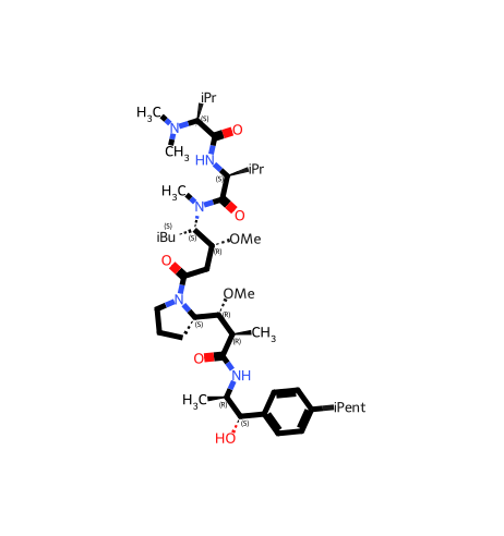 CCCC(C)c1ccc([C@H](O)[C@@H](C)NC(=O)[C@H](C)[C@@H](OC)[C@@H]2CCCN2C(=O)C[C@@H](OC)[C@H]([C@@H](C)CC)N(C)C(=O)[C@@H](NC(=O)[C@H](C(C)C)N(C)C)C(C)C)cc1